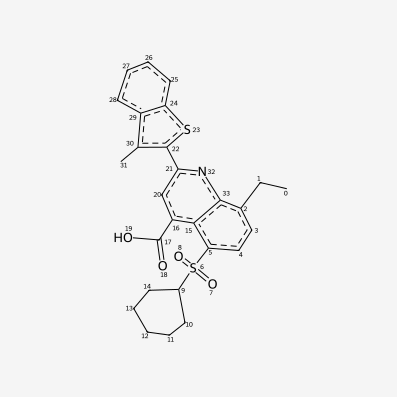 CCc1ccc(S(=O)(=O)C2CCCCC2)c2c(C(=O)O)cc(-c3sc4ccccc4c3C)nc12